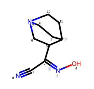 N#C/C(=N/O)C1CN2CCC1CC2